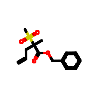 C=CCC(C)(C(=O)OCc1ccccc1)S(C)(=O)=O